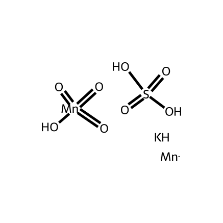 O=S(=O)(O)O.[KH].[Mn].[O]=[Mn](=[O])(=[O])[OH]